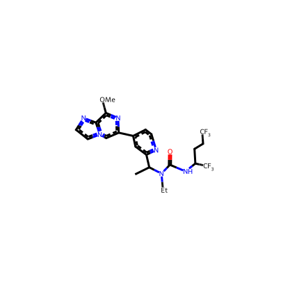 CCN(C(=O)NC(CCC(F)(F)F)C(F)(F)F)C(C)c1cc(-c2cn3ccnc3c(OC)n2)ccn1